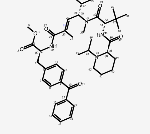 COC(=O)[C@H](Cc1ccc(C(=O)c2ccccc2)cc1)NC(=O)/C(C)=C/[C@H](C(C)C)N(C)C(=O)[C@@H](NC(=O)[C@H]1CCCCN1C(C)C)C(C)(C)C